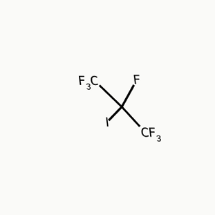 FC(F)(F)C(F)(I)C(F)(F)F